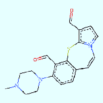 CN1CCN(c2ccc3c(c2C=O)Sc2c(C=O)ccn2C=C3)CC1